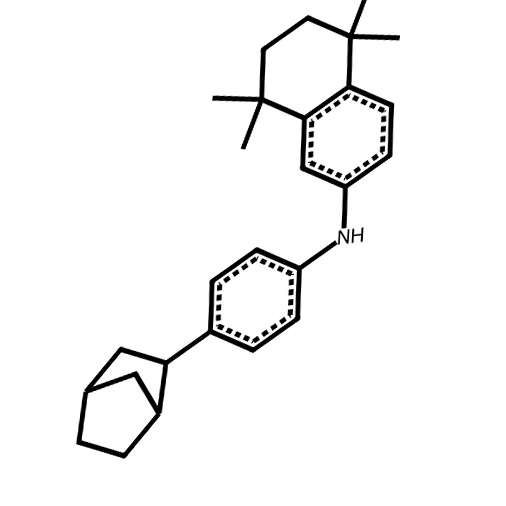 CC1(C)CCC(C)(C)c2cc(Nc3ccc(C4CC5CCC4C5)cc3)ccc21